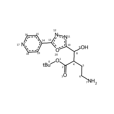 CC(C)(C)OC(=O)C(CCN)C(O)c1nnc(-c2ccncc2)o1